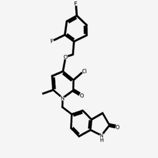 Cc1cc(OCc2ccc(F)cc2F)c(Cl)c(=O)n1Cc1ccc2c(c1)CC(=O)N2